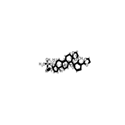 Cc1c(C2OCCO2)cccc1C1C2(CCC3=C4CC[C@@]5(C)[C@@H](CC[C@@]5(C#N)O[Si](C)(C)C)[C@@H]4CC[C@]31O)OCCO2